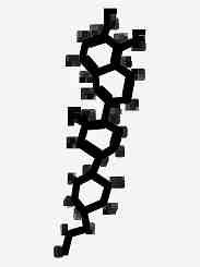 CCCC1CCC(c2ccc(-c3ccc4c(F)c(F)ccc4c3)c(F)c2)CC1